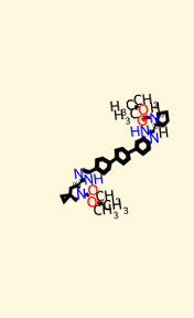 CC(C)(C)OC(=O)N1CC2(CC2)C[C@H]1c1ncc(-c2ccc(-c3ccc(-c4ccc5nc([C@@H]6[C@H]7CC[C@H](C7)N6C(=O)OC(C)(C)C)[nH]c5c4)cc3)cc2)[nH]1